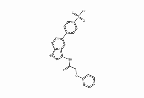 CC(C)S(=O)(=O)c1ccc(-c2cnc3[nH]cc(NC(=O)COc4ccccc4)c3n2)cc1